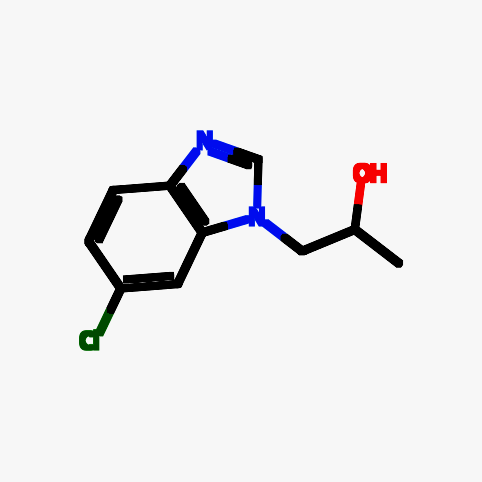 CC(O)Cn1cnc2ccc(Cl)cc21